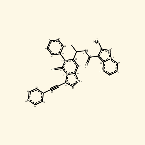 CC(NC(=O)c1c(N)nn2cccnc12)c1cc2ncc(C#Cc3ccncc3)n2c(=O)n1-c1ccccc1